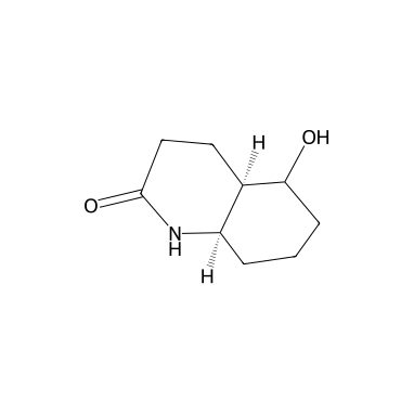 O=C1CC[C@H]2C(O)CCC[C@H]2N1